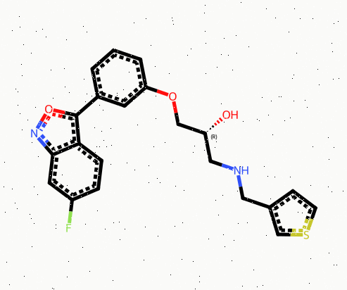 O[C@H](CNCc1ccsc1)COc1cccc(-c2onc3cc(F)ccc23)c1